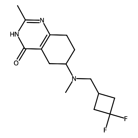 Cc1nc2c(c(=O)[nH]1)CC(N(C)CC1CC(F)(F)C1)CC2